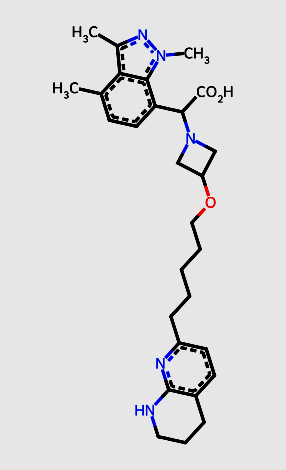 Cc1ccc(C(C(=O)O)N2CC(OCCCCCc3ccc4c(n3)NCCC4)C2)c2c1c(C)nn2C